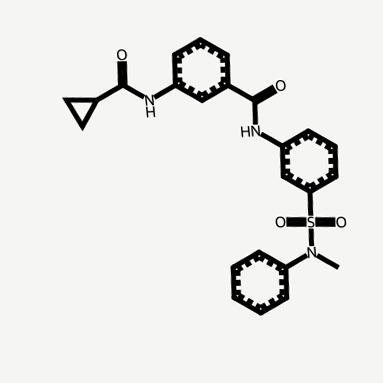 CN(c1ccccc1)S(=O)(=O)c1cccc(NC(=O)c2cccc(NC(=O)C3CC3)c2)c1